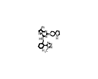 CC(C)c1cnn2c(NCc3ccccc3-c3nnnn3C)nc(N3CCC4(CCCN4)CC3)nc12